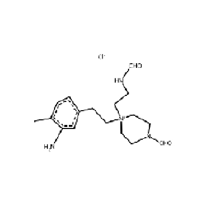 Cc1ccc(CC[N+]2(CCNC=O)CCN(C=O)CC2)cc1N.[Cl-]